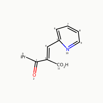 CC(C)C(=O)/C(=C/c1ccccn1)C(=O)O